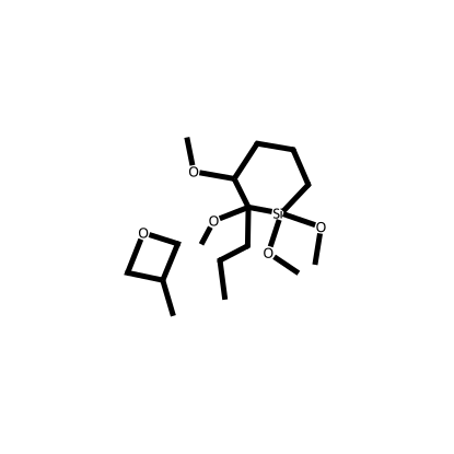 CC1COC1.CCCC1(OC)C(OC)CCC[Si]1(OC)OC